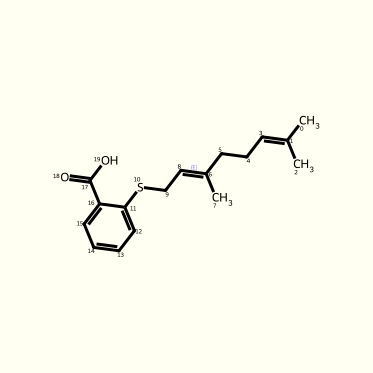 CC(C)=CCC/C(C)=C/CSc1ccccc1C(=O)O